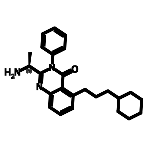 C[C@H](N)c1nc2cccc(CCCC3CCCCC3)c2c(=O)n1-c1ccccc1